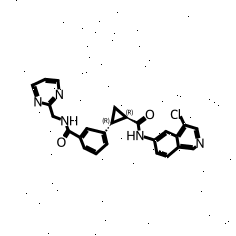 O=C(NCc1ncccn1)c1cccc([C@@H]2C[C@H]2C(=O)Nc2ccc3cncc(Cl)c3c2)c1